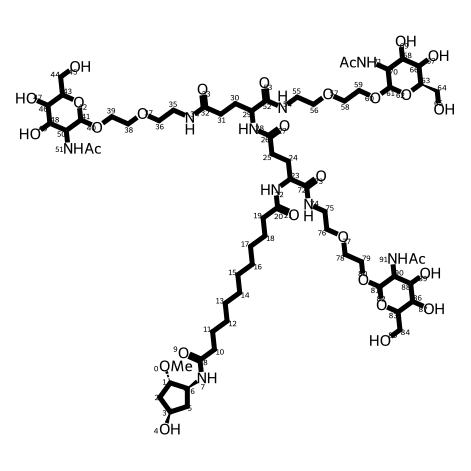 CO[C@H]1C[C@H](O)C[C@@H]1NC(=O)CCCCCCCCCCC(=O)NC(CCC(=O)NC(CCC(=O)NCCOCCOC1OC(CO)C(O)C(O)C1NC(C)=O)C(=O)NCCOCCOC1O[C@H](CO)C(O)C(O)C1NC(C)=O)C(=O)NCCOCCOC1OC(CO)C(O)C(O)C1NC(C)=O